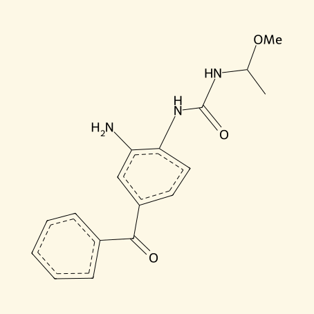 COC(C)NC(=O)Nc1ccc(C(=O)c2ccccc2)cc1N